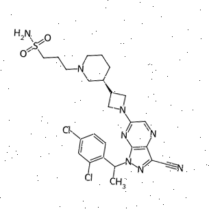 CC(c1ccc(Cl)cc1Cl)n1nc(C#N)c2ncc(N3CC([C@@H]4CCCN(CCCS(N)(=O)=O)C4)C3)nc21